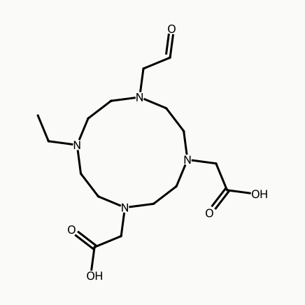 CCN1CCN(CC=O)CCN(CC(=O)O)CCN(CC(=O)O)CC1